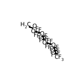 C=CC(=O)OC(F)(F)C(F)(F)OC(F)(F)C(F)(F)OC(F)(F)C(F)(F)OC(F)(F)C(F)(F)C(F)(F)C(F)(F)F